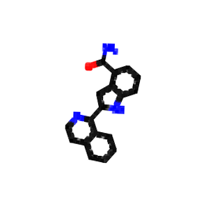 NC(=O)c1cccc2[nH]c(-c3nccc4ccccc34)cc12